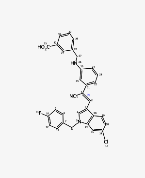 N#C/C(=C\c1cn(Cc2ccc(F)cc2)c2cc(Cl)ccc12)c1cccc(NCc2cccc(C(=O)O)c2)c1